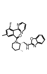 Cc1cc(F)c(-c2ncccn2)c(C(=O)N2CCC[C@@H](C)[C@H]2CNc2nc3ccccc3o2)c1